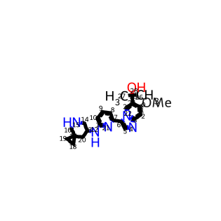 COc1cc2ncc(-c3cccc(NC4CNCC5(CC5)C4)n3)n2cc1C(C)(C)O